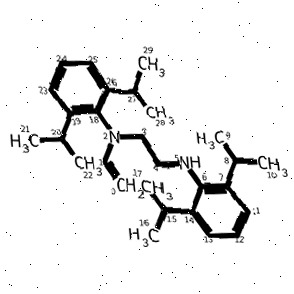 C=CN(CCNc1c(C(C)C)cccc1C(C)C)c1c(C(C)C)cccc1C(C)C